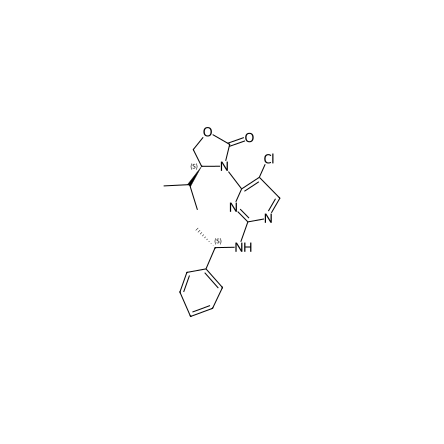 CC(C)[C@H]1COC(=O)N1c1nc(N[C@@H](C)c2ccccc2)ncc1Cl